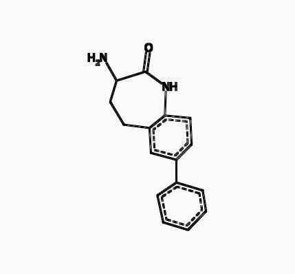 NC1CCc2cc(-c3ccccc3)ccc2NC1=O